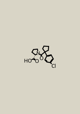 O=C(O)[C@@H]1CCCN1C(=O)C1(c2ccc(Cl)cc2)CCCC1